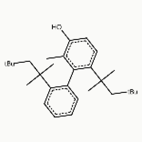 Cc1c(O)ccc(C(C)(C)CC(C)(C)C)c1-c1ccccc1C(C)(C)CC(C)(C)C